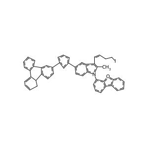 Cc1c(/C=C\CCI)c2cc(-c3cccc(-c4ccc5c(c4)-c4ccccc4C4=CC=CCC45)c3)ccc2n1-c1cccc2c1oc1ccccc12